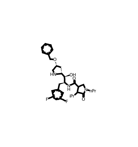 CCCN1CC(C(=O)N[C@@H](Cc2cc(F)cc(F)c2)[C@H](O)[C@H]2C[C@@H](OCc3ccccc3)CN2)C(C(C)C)C1=O